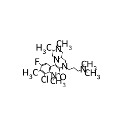 Cc1c(F)cc2c3c(c(=O)n(C)c2c1Cl)N(CCCN(C)C)CC1CN(C)C(C)CN31